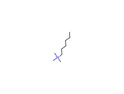 [CH2]CCCCC[N+](C)(C)C